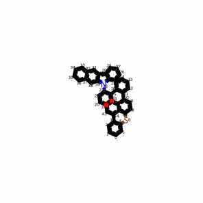 c1ccc2c(c1)Sc1ccc(-c3ccccc3-c3ccccc3-n3c4ccccc4c4cc5ccccc5cc43)c3cccc-2c13